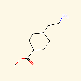 COC(=O)C1CCC(CCN)CC1